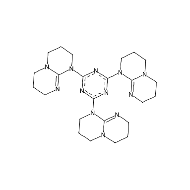 C1CN=C2N(C1)CCCN2c1nc(N2CCCN3CCCN=C32)nc(N2CCCN3CCCN=C32)n1